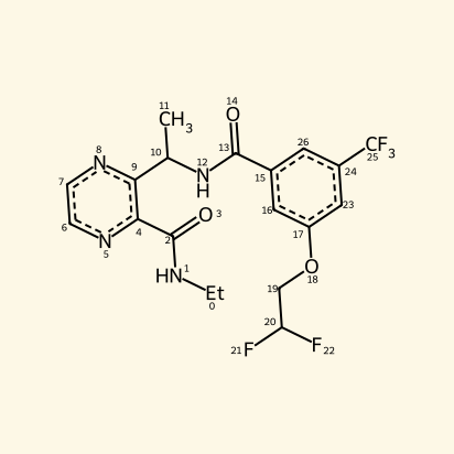 CCNC(=O)c1nccnc1C(C)NC(=O)c1cc(OCC(F)F)cc(C(F)(F)F)c1